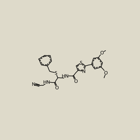 COc1cc(OC)cc(-c2nc(C(=O)NCC(SCc3ccccc3)C(=O)NCC#N)cs2)c1